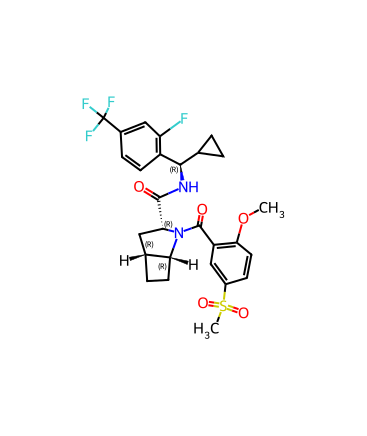 COc1ccc(S(C)(=O)=O)cc1C(=O)N1[C@@H](C(=O)N[C@@H](c2ccc(C(F)(F)F)cc2F)C2CC2)C[C@H]2CC[C@H]21